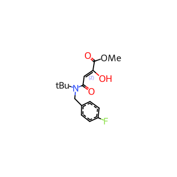 COC(=O)/C(O)=C/C(=O)N(Cc1ccc(F)cc1)C(C)(C)C